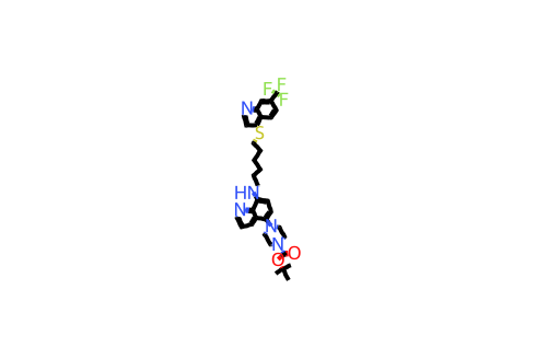 CC(C)(C)OC(=O)N1CCN(c2ccc(NCCCCCCSc3ccnc4cc(C(F)(F)F)ccc34)c3ncccc23)CC1